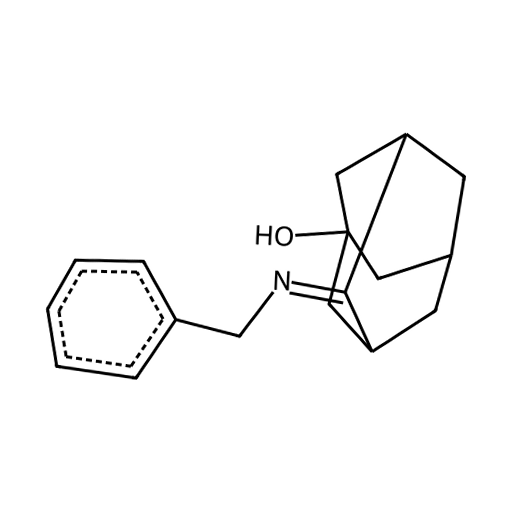 OC12CC3CC(C1)C(=NCc1ccccc1)C(C3)C2